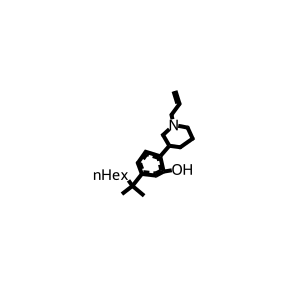 C=CCN1CCCC(c2ccc(C(C)(C)CCCCCC)cc2O)C1